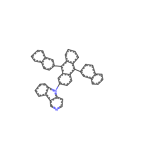 c1ccc2cc(-c3c4ccccc4c(-c4ccc5ccccc5c4)c4cc(-n5c6ccccc6c6cnccc65)ccc34)ccc2c1